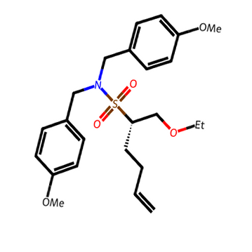 C=CCC[C@@H](COCC)S(=O)(=O)N(Cc1ccc(OC)cc1)Cc1ccc(OC)cc1